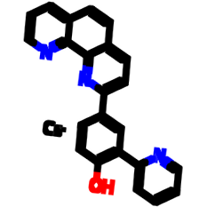 Oc1ccc(-c2ccc3ccc4cccnc4c3n2)cc1-c1ccccn1.[Cs]